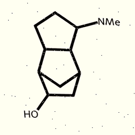 CNC1CCC2C3CC(CC3O)C12